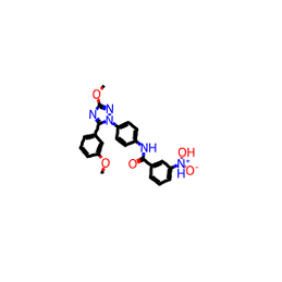 COc1cccc(-c2nc(OC)nn2-c2ccc(NC(=O)c3cccc([NH+]([O-])O)c3)cc2)c1